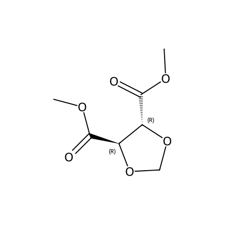 COC(=O)[C@@H]1OCO[C@H]1C(=O)OC